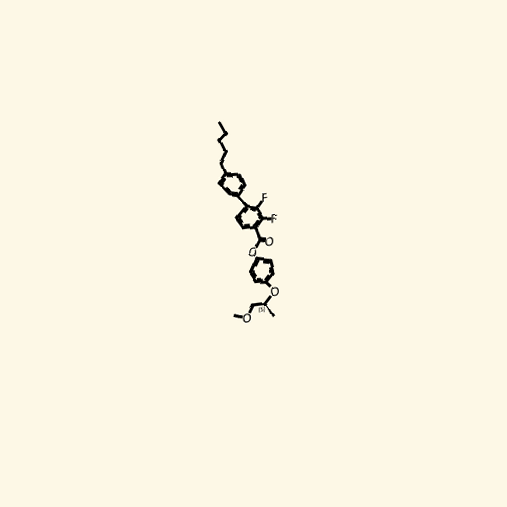 CCCCCc1ccc(-c2ccc(C(=O)Oc3ccc(O[C@@H](C)COC)cc3)c(F)c2F)cc1